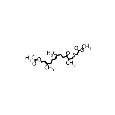 COC(=O)CSCC(C)C(=O)CCC(C)=CCCC(C)=CCOC(C)=O